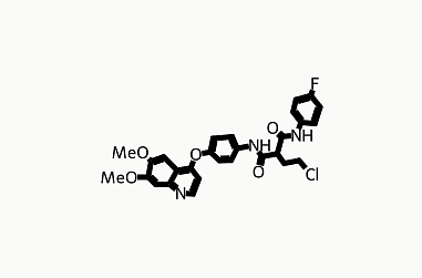 COc1cc2nccc(Oc3ccc(NC(=O)C(CCCl)C(=O)Nc4ccc(F)cc4)cc3)c2cc1OC